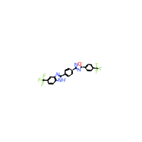 FC(F)(F)c1ccc(-c2nc(-c3ccc(-c4nc5cc(C(F)(F)F)ccc5[nH]4)cc3)no2)cc1